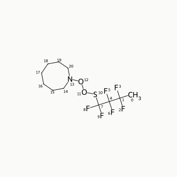 CC(F)(F)C(F)(F)C(F)(F)SOON1CCCCCCC1